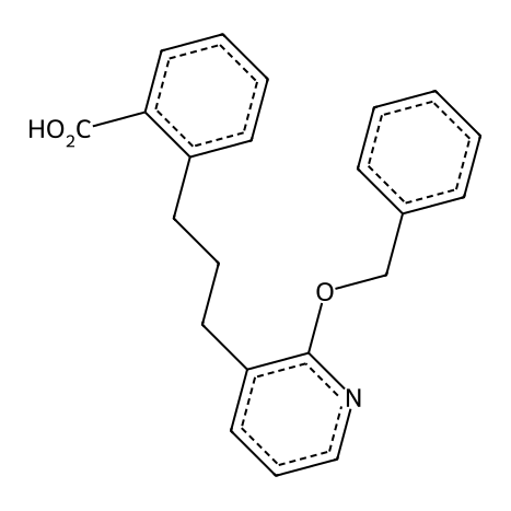 O=C(O)c1ccccc1CCCc1cccnc1OCc1ccccc1